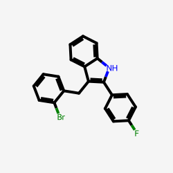 Fc1ccc(-c2[nH]c3ccccc3c2Cc2ccccc2Br)cc1